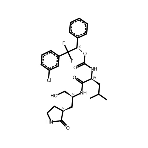 CC(C)C[C@H](NC(=O)O[C@@H](c1ccccc1)C(F)(F)c1cccc(Cl)c1)C(=O)N[C@H](CO)C[C@@H]1CCNC1=O